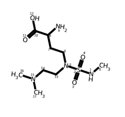 CNS(=O)(=O)N(CCC(N)C(=O)O)CCN(C)C